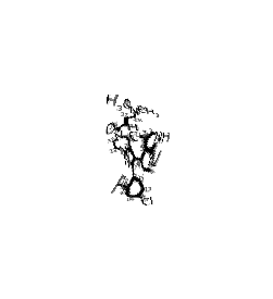 Cc1c[nH]c2nccc(-c3c(-c4ccc(Cl)cc4F)nn4c3CN(C(=O)/C=C/CN(C)C)CC4)c12